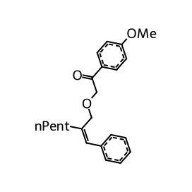 CCCCCC(=Cc1ccccc1)COCC(=O)c1ccc(OC)cc1